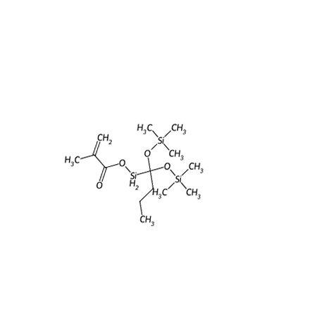 C=C(C)C(=O)O[SiH2]C(CCC)(O[Si](C)(C)C)O[Si](C)(C)C